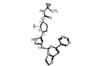 CC1(NC(=O)O[C@H]2CC[C@@H](c3cc(Nc4nc(-c5cncnc5)cc5nccn45)n[nH]3)[C@@H]2F)CC1